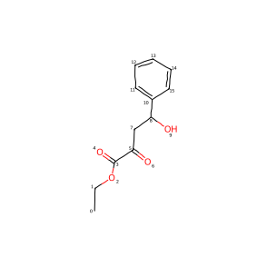 CCOC(=O)C(=O)CC(O)c1ccccc1